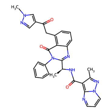 Cc1nn2cccnc2c1C(=O)N[C@@H](C)c1nc2cccc(CC(=O)c3cnn(C)c3)c2c(=O)n1-c1ccccc1